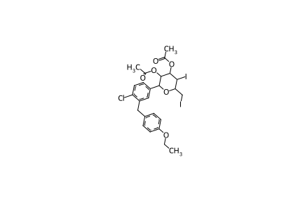 CCOc1ccc(Cc2cc(C3OC(CI)C(I)C(OC(C)=O)C3OC(C)=O)ccc2Cl)cc1